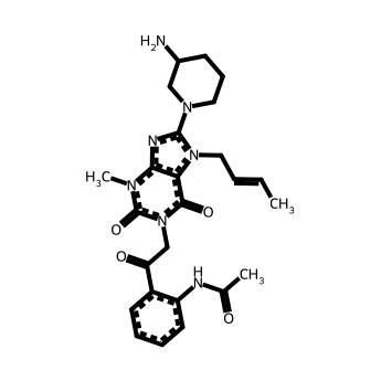 CC=CCn1c(N2CCCC(N)C2)nc2c1c(=O)n(CC(=O)c1ccccc1NC(C)=O)c(=O)n2C